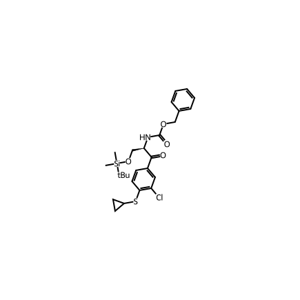 CC(C)(C)[Si](C)(C)OC[C@@H](NC(=O)OCc1ccccc1)C(=O)c1ccc(SC2CC2)c(Cl)c1